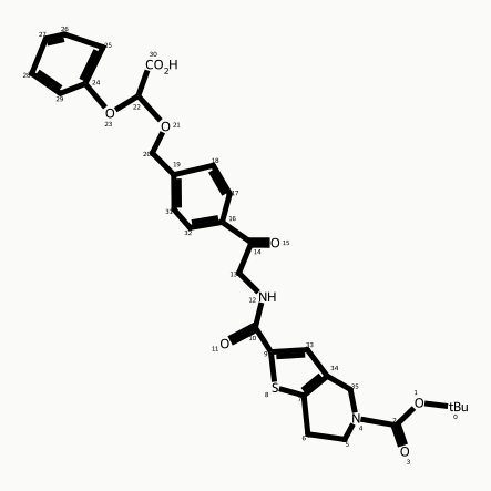 CC(C)(C)OC(=O)N1CCc2sc(C(=O)NCC(=O)c3ccc(COC(Oc4ccccc4)C(=O)O)cc3)cc2C1